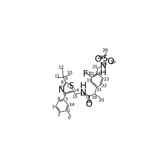 Cc1cccc(-c2nc(C(C)(C)C)sc2CNC(=O)C(C)c2ccc(CNS(C)(=O)=O)c(F)c2)c1